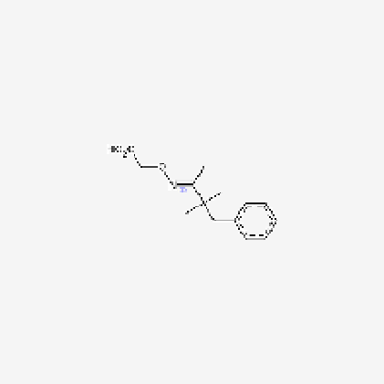 C/C(=N\OCC(=O)O)C(C)(C)Cc1ccccc1